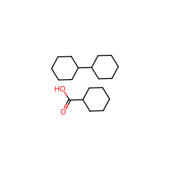 C1CCC(C2CCCCC2)CC1.O=C(O)C1CCCCC1